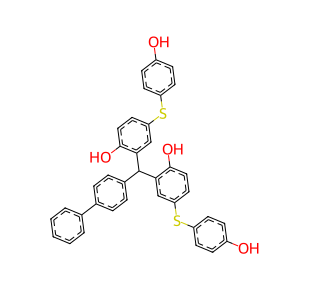 Oc1ccc(Sc2ccc(O)c(C(c3ccc(-c4ccccc4)cc3)c3cc(Sc4ccc(O)cc4)ccc3O)c2)cc1